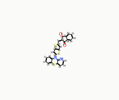 O=C1C(=Cc2cc3sc(N4c5ccccc5Sc5cccnc54)cc3s2)C(=O)c2ccccc21